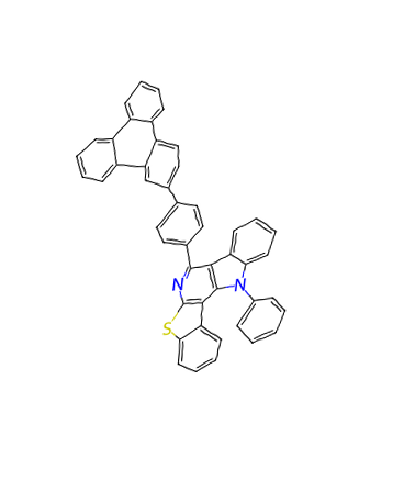 c1ccc(-n2c3ccccc3c3c(-c4ccc(-c5ccc6c7ccccc7c7ccccc7c6c5)cc4)nc4sc5ccccc5c4c32)cc1